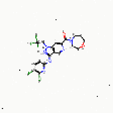 O=C(c1cc2c(cn1)c(Nc1ccc(F)c(Cl)n1)nn2CC(F)(F)F)N1CCCOCC1